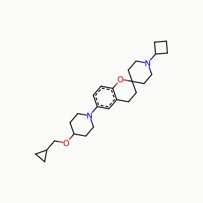 c1cc2c(cc1N1CCC(OCC3CC3)CC1)CCC1(CCN(C3CCC3)CC1)O2